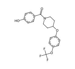 O=C(c1ccc(O)cc1)N1CCC(Oc2ccc(OC(F)(F)F)cc2)CC1